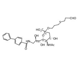 CC(=O)N[C@H]1[C@H]([C@H](O)[C@H](O)CNC(=O)c2ccc(-c3ccccc3)cc2)O[C@@](OCCCSCCC=O)(C(=O)O)C[C@@H]1O